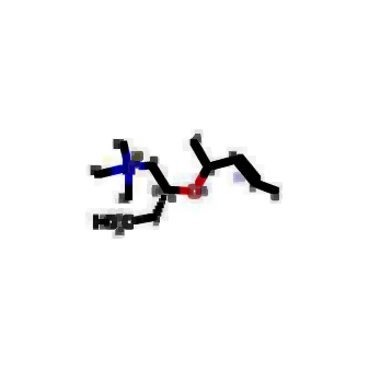 C/C=C/C(C)O[C@H](CC(=O)O)C[N+](C)(C)C